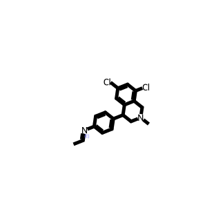 C/C=N/c1ccc(C2CN(C)Cc3c(Cl)cc(Cl)cc32)cc1